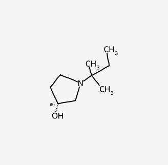 CCC(C)(C)N1CC[C@@H](O)C1